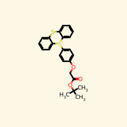 CC(C)(C)OC(=O)COc1ccc([S+]2c3ccccc3Sc3ccccc32)cc1